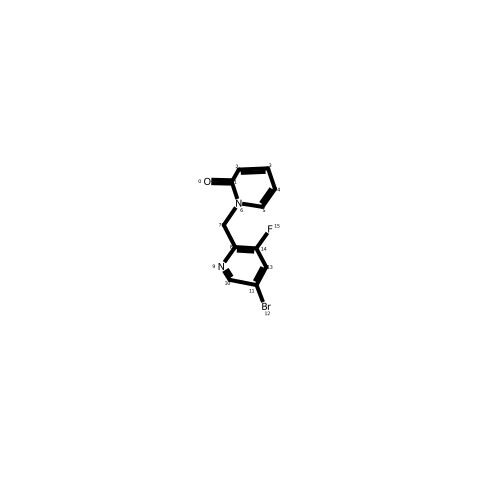 O=c1ccccn1Cc1ncc(Br)cc1F